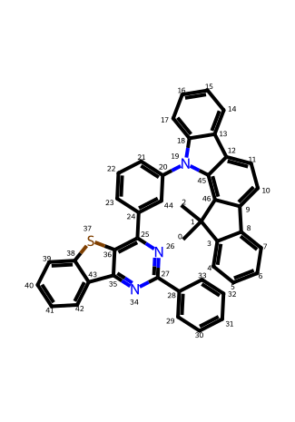 CC1(C)c2ccccc2-c2ccc3c4ccccc4n(-c4cccc(-c5nc(-c6ccccc6)nc6c5sc5ccccc56)c4)c3c21